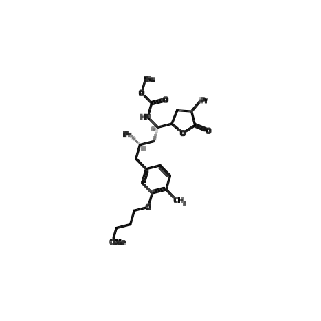 COCCCOc1cc(C[C@@H](C[C@H](NC(=O)OC(C)(C)C)C2CC(C(C)C)C(=O)O2)C(C)C)ccc1C